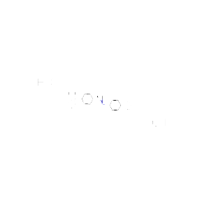 CCCCCCOc1ccc(/C=N/c2ccc(C(=O)OCCCC)cc2)cc1